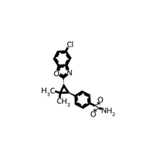 CC1(C)[C@H](c2ccc(S(N)(=O)=O)cc2)[C@H]1c1nc2cc(Cl)ccc2o1